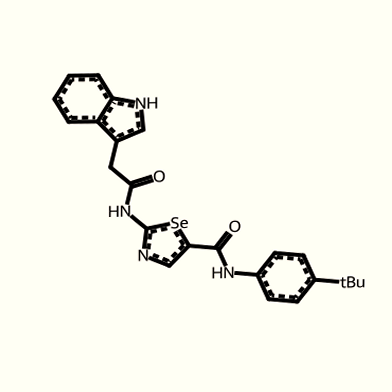 CC(C)(C)c1ccc(NC(=O)c2cnc(NC(=O)Cc3c[nH]c4ccccc34)[se]2)cc1